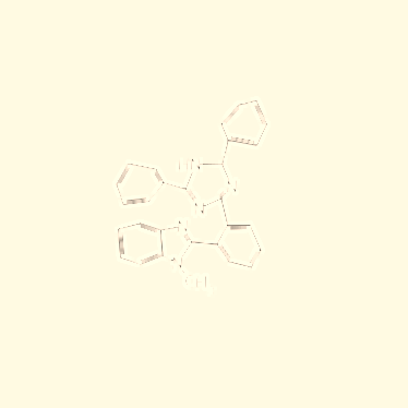 Cn1c(-c2ccccc2C2=NC(c3ccccc3)NC(c3ccccc3)=N2)nc2ccccc21